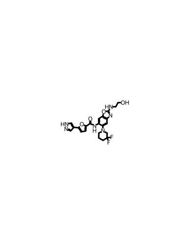 O=C(Nc1cc2oc(NCCO)nc2cc1N1CCCC(F)(F)C1)c1ccc(-c2cn[nH]c2)o1